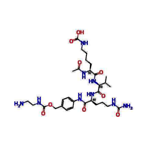 CC(=O)N[C@@H](CCCCNC(=O)O)C(=O)N[C@H](C(=O)N[C@@H](CCCNC(N)=O)C(=O)Nc1ccc(COC(=O)NCCN)cc1)C(C)C